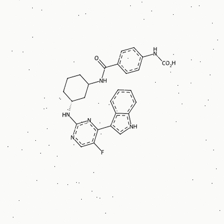 O=C(O)Nc1ccc(C(=O)NC2CCC[C@@H](Nc3ncc(F)c(-c4c[nH]c5ccccc45)n3)C2)cc1